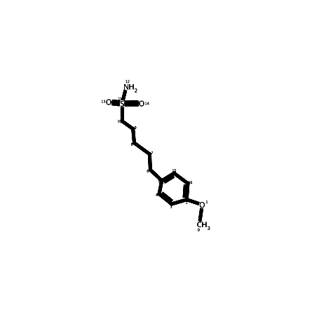 COc1ccc(CCCCCS(N)(=O)=O)cc1